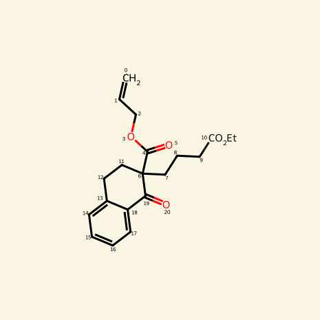 C=CCOC(=O)C1(CCCC(=O)OCC)CCc2ccccc2C1=O